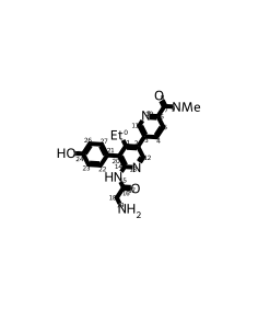 CCc1c(-c2ccc(C(=O)NC)nc2)cnc(NC(=O)CN)c1-c1ccc(O)cc1